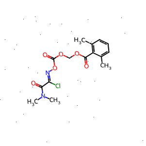 Cc1cccc(C)c1C(=O)OCOC(=O)O/N=C(\Cl)C(=O)N(C)C